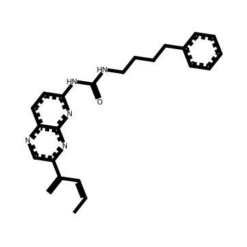 C=C(/C=C\C)c1cnc2ccc(NC(=O)NCCCCc3ccccc3)nc2n1